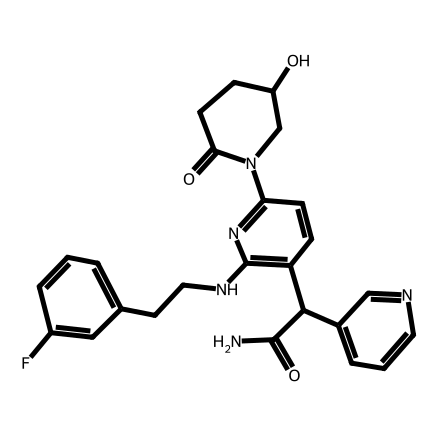 NC(=O)C(c1cccnc1)c1ccc(N2CC(O)CCC2=O)nc1NCCc1cccc(F)c1